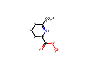 O=C(O)C1=NC(C(=O)OO)CCC1